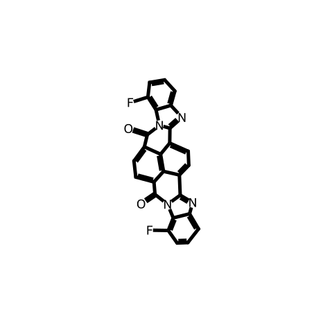 O=c1c2ccc3c(=O)n4c(nc5cccc(F)c54)c4ccc(c2c34)c2nc3cccc(F)c3n12